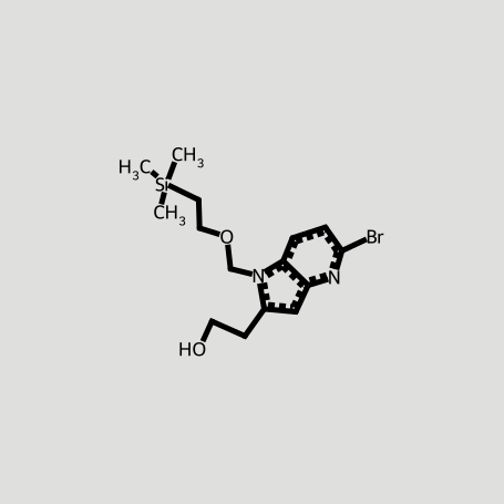 C[Si](C)(C)CCOCn1c(CCO)cc2nc(Br)ccc21